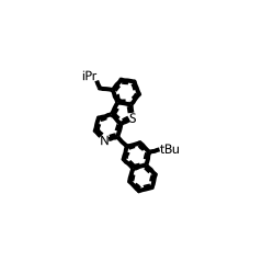 CC(C)Cc1cccc2sc3c(-c4cc(C(C)(C)C)c5ccccc5c4)nccc3c12